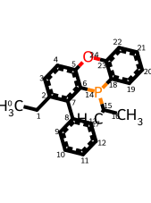 CCc1ccc2c(c1-c1ccccc1)P(C(C)C)c1ccccc1O2